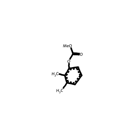 COC(=O)Oc1[c]ccc(C)c1C